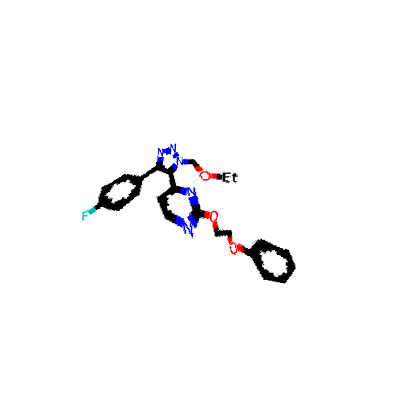 CCOCn1nnc(-c2ccc(F)cc2)c1-c1ccnc(OCCOc2ccccc2)n1